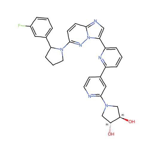 O[C@@H]1CN(c2cc(-c3cccc(-c4cnc5ccc(N6CCCC6c6cccc(F)c6)nn45)n3)ccn2)C[C@H]1O